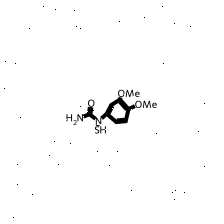 COc1ccc(N(S)C(N)=O)cc1OC